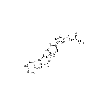 CC(=O)OCc1nnc(-c2ccc(N3CCC(Oc4ccccc4Cl)CC3)nn2)s1